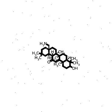 CC1(C)CC[C@]2(CN)CC[C@]3(C)[C@H](C(=O)C=C4[C@@]5(C)CCC(O)C(C)(C)[C@@H]5CC[C@]43C)[C@@H]2C1